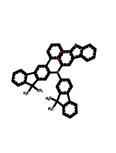 CC1(C)c2ccccc2-c2ccc(N(c3ccc4sc5ccccc5c4c3)c3cc4c(cc3-c3ccccc3)-c3ccccc3C4(C)C)cc21